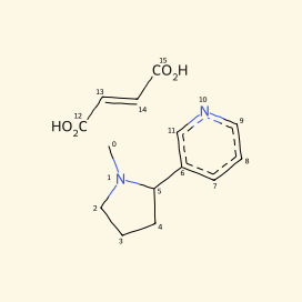 CN1CCCC1c1cccnc1.O=C(O)/C=C/C(=O)O